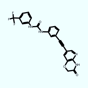 O=C1COc2cc(C#Cc3cccc(NC(=O)Nc4cccc(C(F)(F)F)c4)c3)cnc2N1